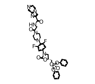 O=C(NCC(=O)N1CCN(c2c(F)cc(N3C[C@H](COP(=O)(Oc4ccccc4)Oc4ccccc4)OC3=O)cc2F)CC1)c1cn2ccncc2n1